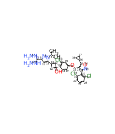 CC(C)n1nc(/C(=N/N)NN)cc1C1CC(O)(c2ccc(OCc3c(-c4c(Cl)cccc4Cl)noc3C3CC3)cc2Cl)C1